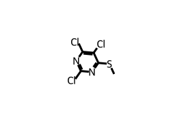 CSc1nc(Cl)nc(Cl)c1Cl